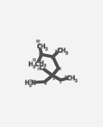 CCC(C)(CN)CC(C)C(C)C